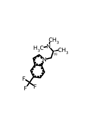 C[C@@H](Cn1ccc2cc(C(F)(F)F)ccc21)N(C)C